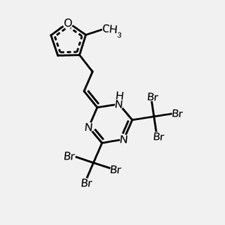 Cc1occc1CC=C1N=C(C(Br)(Br)Br)N=C(C(Br)(Br)Br)N1